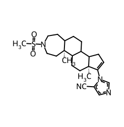 C[C@]12CCN(S(C)(=O)=O)CCC1CCC1C2CC[C@]2(C)C(n3cncc3C#N)=CCC12